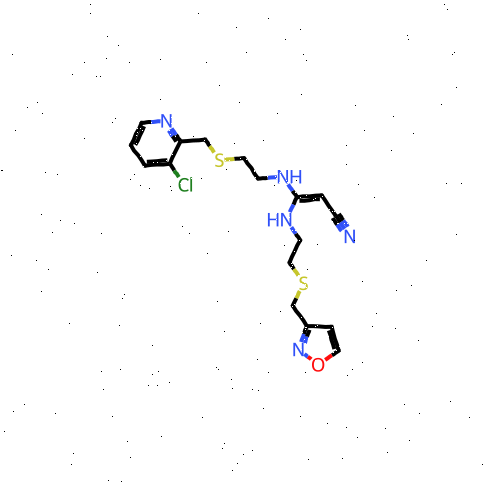 N#C/C=C(\NCCSCc1ccon1)NCCSCc1ncccc1Cl